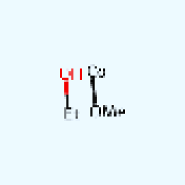 CCO.C[O][Co]